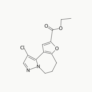 CCOC(=O)c1cc2c(o1)CCCn1ncc(Cl)c1-2